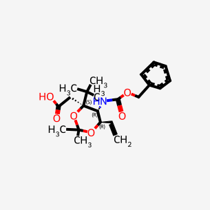 C=C[C@H]1OC(C)(C)O[C@@](CC(=O)O)(C(C)(C)C)[C@@H]1NC(=O)OCc1ccccc1